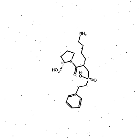 NCCCCC(CP(=O)(O)CCc1ccccc1)C(=O)N1CCC[C@H]1C(=O)O